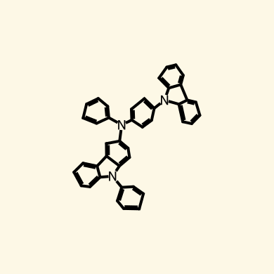 c1ccc(N(c2ccc(-n3c4ccccc4c4ccccc43)cc2)c2ccc3c(c2)c2ccccc2n3-c2ccccc2)cc1